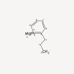 [CH2]CCc1ccccc1.[MgH2]